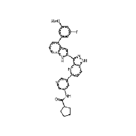 COc1cc(F)cc(-c2cccc3[nH]c(-c4n[nH]c5ccc(-c6cncc(NC(=O)C7CCCC7)c6)nc45)cc23)c1